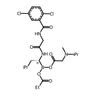 CCC(=O)OB(OC(=O)CN(C)C(C)C)[C@H](CC(C)C)NC(=O)CNC(=O)c1cc(Cl)ccc1Cl